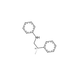 C[C@H](CNc1ccccc1)c1ccccc1